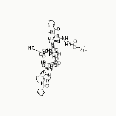 C[Si](C)(C)CCOC(=O)NCCNc1nc(NC(=O)c2ccccc2)c2ncn([C@@H]3O[C@@H]4COP(=O)(S)O[C@H]5[C@@H](F)[C@H](n6cc7c8c(ncnc86)N(C(=O)c6ccccc6)CCC7)O[C@@H]5COP(=S)(OCCC#N)O[C@@H]3[C@@H]4F)c2n1